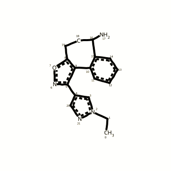 CCn1cc(-c2noc3c2-c2ccccc2C(N)CC3)cn1